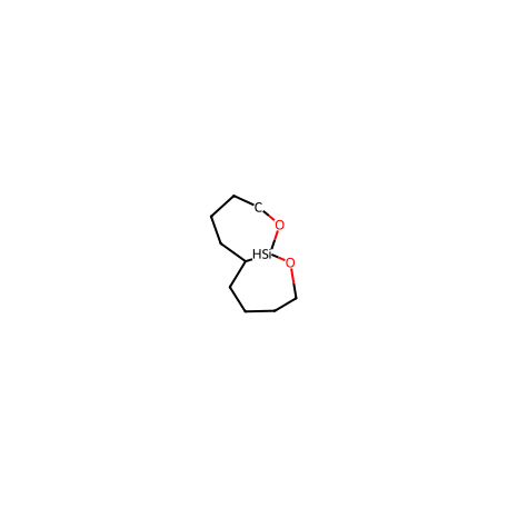 C1CCC2CCCCO[SiH]2OC1